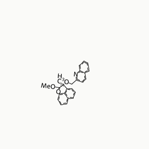 COC(=O)[C@@](C)(OCc1ccc2ccccc2n1)c1cccc2ccccc12